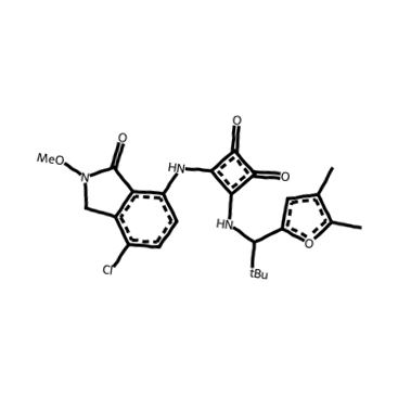 CON1Cc2c(Cl)ccc(Nc3c(NC(c4cc(C)c(C)o4)C(C)(C)C)c(=O)c3=O)c2C1=O